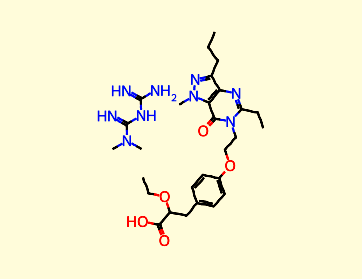 CCCc1nn(C)c2c(=O)n(CCOc3ccc(CC(OCC)C(=O)O)cc3)c(CC)nc12.CN(C)C(=N)NC(=N)N